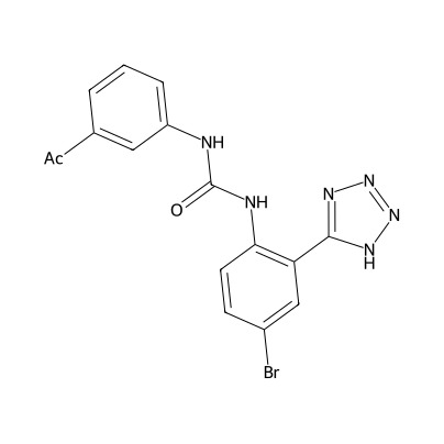 CC(=O)c1cccc(NC(=O)Nc2ccc(Br)cc2-c2nnn[nH]2)c1